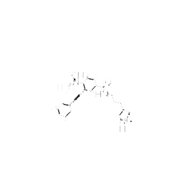 CN(C)c1ccc(C(=O)NCCCc2cn[nH]c2)cc1C#Cc1ccccc1